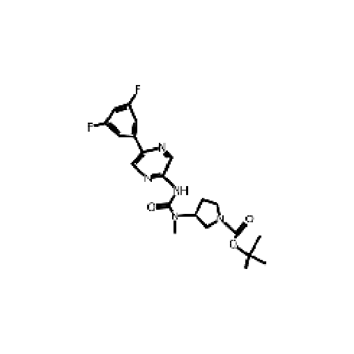 CN(C(=O)Nc1cnc(-c2cc(F)cc(F)c2)cn1)C1CCN(C(=O)OC(C)(C)C)C1